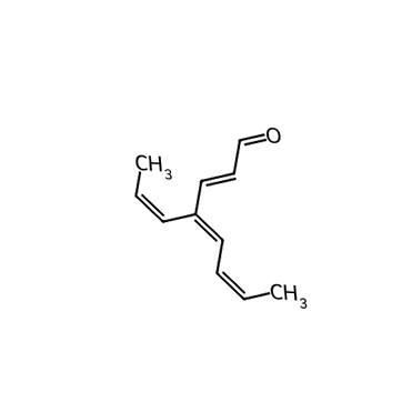 C\C=C/C=C(C=CC=O)\C=C/C